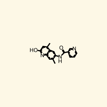 Cc1cc2nc(O)cc(C)c2cc1NC(=O)c1cccnc1